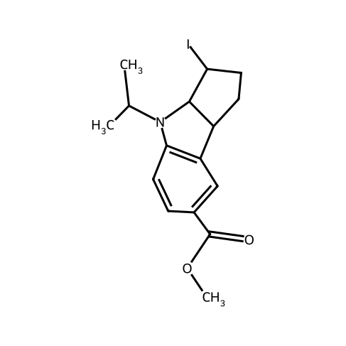 COC(=O)c1ccc2c(c1)C1CCC(I)C1N2C(C)C